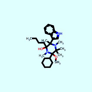 CCCCC1(O)N(C)C(O[SiH3])(C2CCCCC2)C(C)(C)N(C)C1(C)c1c[nH]c2ccccc12